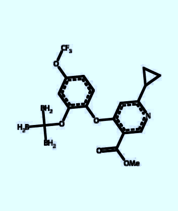 BC(B)(B)Oc1cc(OC(F)(F)F)ccc1Oc1cc(C2CC2)ncc1C(=O)OC